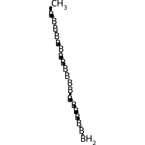 BB=BB=BB=BB=BB=BB=BB=BB=BB=BCC